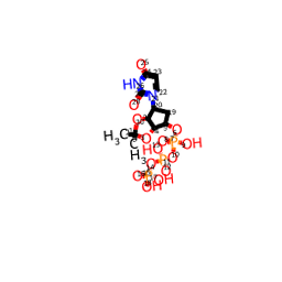 CC1(C)OC2C(OP(=O)(O)OP(=O)(O)OP(=O)(O)O)CC(n3ccc(=O)[nH]c3=O)C2O1